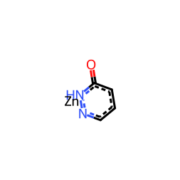 O=c1cccn[nH]1.[Zn]